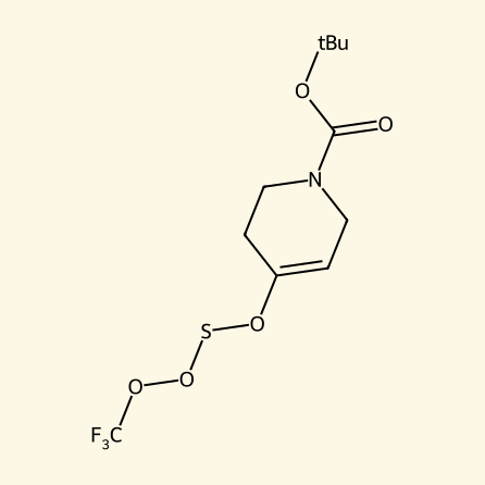 CC(C)(C)OC(=O)N1CC=C(OSOOC(F)(F)F)CC1